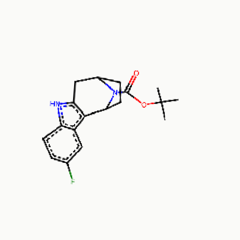 CC(C)(C)OC(=O)N1C2CCC1c1c([nH]c3ccc(F)cc13)C2